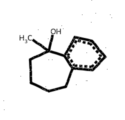 CC1(O)CCCCc2ccccc21